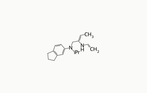 C=CN/C(=C\C)CN(c1ccc2c(c1)CCC2)C(C)C